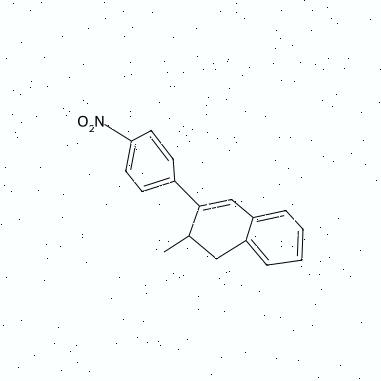 CC1Cc2ccccc2C=C1c1ccc([N+](=O)[O-])cc1